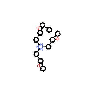 c1ccc(-c2cccc3oc4cc(-c5cccc(-c6nc(-c7cccc(-c8ccc9c(c8)oc8ccccc89)c7)nc(-c7cccc(-c8ccc9c(c8)oc8ccccc89)c7)n6)c5)ccc4c23)cc1